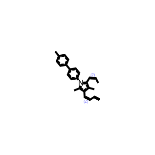 C=C/C=C\c1c(C)c(/C=C\C)n(-c2ccc(-c3ccc(C)cc3)cc2)c1C